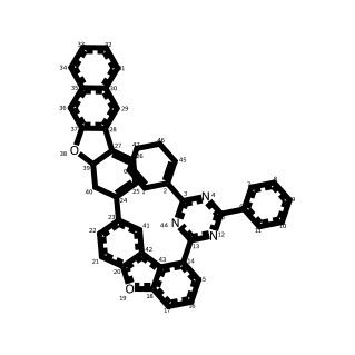 C1=CC(c2nc(-c3ccccc3)nc(-c3cccc4oc5ccc(C6=CC=C7c8cc9ccccc9cc8OC7C6)cc5c34)n2)=CCC1